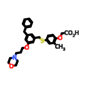 Cc1cc(SCc2cc(Cc3ccccc3)cc(OCCCN3CCOCC3)c2)ccc1OCC(=O)O